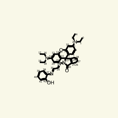 CCN(CC)c1ccc2c(c1)Oc1cc(N(CC)CC)ccc1C21C2=C(CCC=C2)C(=O)N1/N=C/C=N/c1ccccc1O